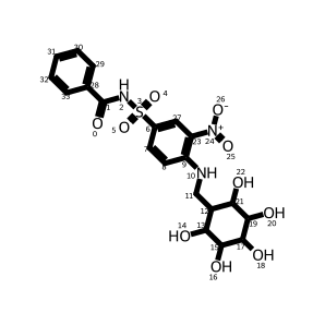 O=C(NS(=O)(=O)c1ccc(NCC2C(O)C(O)C(O)C(O)C2O)c([N+](=O)[O-])c1)c1ccccc1